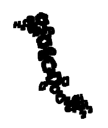 CN(c1ccccc1C(=O)Nc1ccc(S(=O)(=O)N2CCN(c3cc(Cl)c(OCOCC[Si](C)(C)C)c(Cl)c3)CC2)cc1)S(C)(=O)=O